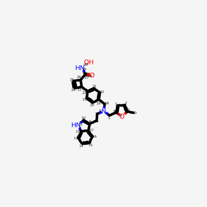 Cc1ccc(CN(CCc2c[nH]c3ccccc23)Cc2ccc(C3C#CC3C(=O)NO)cc2)o1